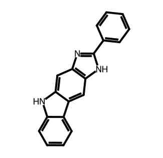 c1ccc(-c2nc3cc4[nH]c5ccccc5c4cc3[nH]2)cc1